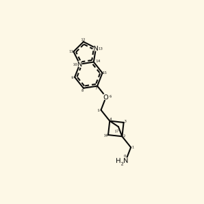 NCC12CC(COc3ccn4ccnc4c3)(C1)C2